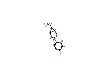 Fc1ccc(N2CC3C([AsH2])C3C2)cc1